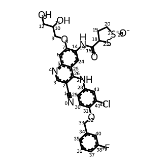 N#Cc1cnc2cc(OCC(O)CO)c(NC(=O)C3CC[S+]([O-])S3)cc2c1Nc1ccc(OCc2cccc(F)c2)c(Cl)c1